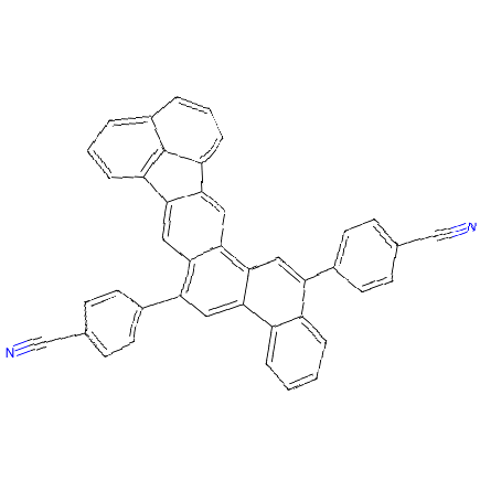 N#Cc1ccc(-c2cc3c4cc5c(cc4c(-c4ccc(C#N)cc4)cc3c3ccccc23)-c2cccc3cccc-5c23)cc1